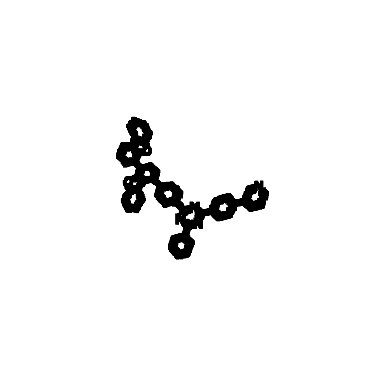 c1ccc(-c2nc(-c3ccc(-c4cccnc4)cc3)nc(-c3ccc(-c4ccc(-c5cccc6c5oc5ccccc56)c5oc6ccccc6c45)cc3)n2)cc1